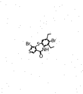 CCc1cc2c(c(CC)c1Br)NC(=O)c1csc(Br)c1S2